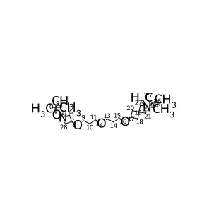 CC(C)(C)ON1CC(OCCCOCCCOC2CC3(C2)CN(C(C)(C)C)C3)C1